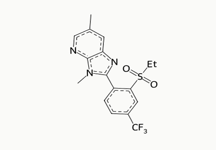 CCS(=O)(=O)c1cc(C(F)(F)F)ccc1-c1nc2cc(C)cnc2n1C